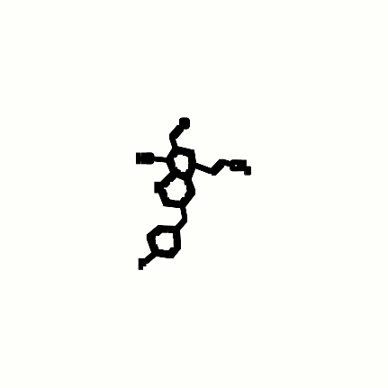 C/C=C/c1cc(C=O)c(O)c2ncc(Cc3ccc(F)cc3)cc12